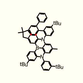 Cc1cc2c3c(c1)N(c1ccc(C(C)(C)C)cc1-c1ccccc1-c1ccccc1)c1cc4c(cc1B3c1ccc(C(C)(C)C)cc1N2c1cccc(C(C)(C)C)c1)CC(C)(C)C4